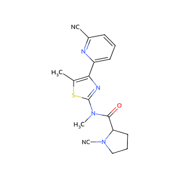 Cc1sc(N(C)C(=O)C2CCCN2C#N)nc1-c1cccc(C#N)n1